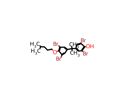 CC(C)CCCOc1c(Br)cc(C(C)(C)c2cc(Br)c(O)c(Br)c2)cc1Br